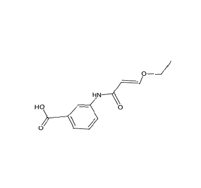 CCOC=CC(=O)Nc1cccc(C(=O)O)c1